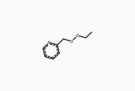 CCOOCc1ccccn1